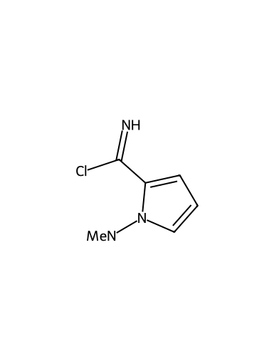 CNn1cccc1C(=N)Cl